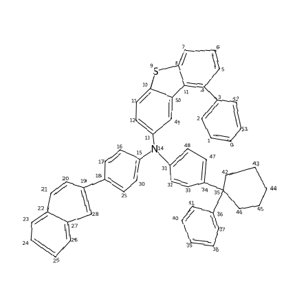 c1ccc(-c2cccc3sc4ccc(N(c5ccc(-c6ccc7ccccc7c6)cc5)c5ccc(C6(c7ccccc7)CCCCC6)cc5)cc4c23)cc1